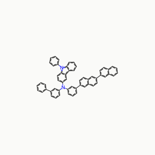 c1ccc(-c2cccc(N(c3cccc(-c4ccc5cc(-c6ccc7ccccc7c6)ccc5c4)c3)c3ccc4c(c3)c3ccccc3n4-c3ccccc3)c2)cc1